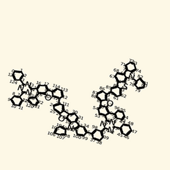 c1ccc(-c2nc(-c3ccccc3)nc(-c3ccc4c(oc5c(-c6ccc7oc8c(ccc9c%10cc(-c%11cccc(-c%12nc(-c%13ccccc%13)nc(-c%13ccc%14c(oc%15c(-c%16ccc%17sc%18c(ccc%19c%20ccccc%20n(-c%20ccccc%20)c%19%18)c%17c%16)cccc%15%14)c%13-c%13ccccc%13)n%12)c%11)ccc%10n(-c%10ccccc%10)c98)c7c6)cccc54)c3-c3ccccc3)n2)cc1